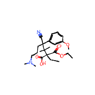 CCOC(=O)C(CC)(C(=O)O)C(C)(C)C(C#N)(CCCN(C)C)c1cccc(OC)c1